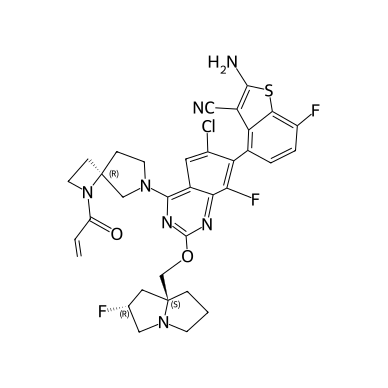 C=CC(=O)N1CC[C@@]12CCN(c1nc(OC[C@@]34CCCN3C[C@H](F)C4)nc3c(F)c(-c4ccc(F)c5sc(N)c(C#N)c45)c(Cl)cc13)C2